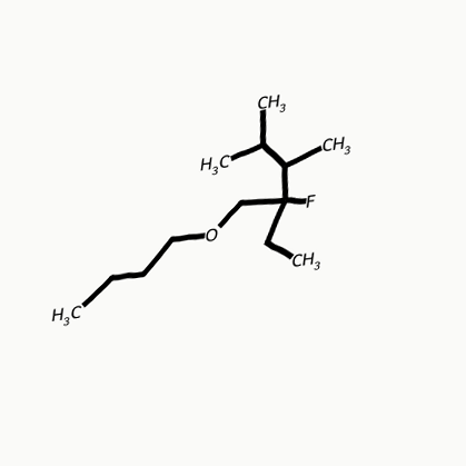 CCCCOCC(F)(CC)C(C)C(C)C